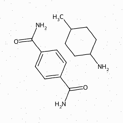 CC1CCC(N)CC1.NC(=O)c1ccc(C(N)=O)cc1